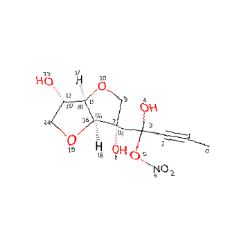 CC#CC(O)(O[N+](=O)[O-])[C@]1(O)CO[C@@H]2[C@@H](O)CO[C@@H]21